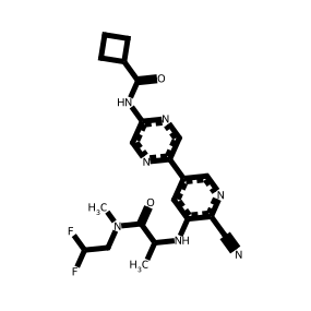 CC(Nc1cc(-c2cnc(NC(=O)C3CCC3)cn2)cnc1C#N)C(=O)N(C)CC(F)F